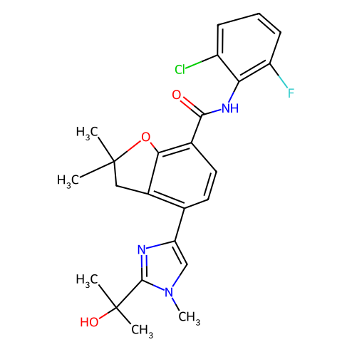 Cn1cc(-c2ccc(C(=O)Nc3c(F)cccc3Cl)c3c2CC(C)(C)O3)nc1C(C)(C)O